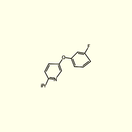 CC(C)c1ccc(Oc2cccc(F)c2)cn1